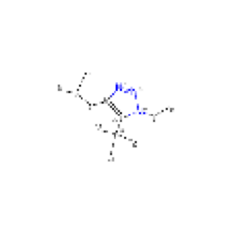 CCn1nnc(CC(C)C)c1C(C)(C)C